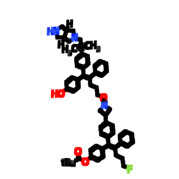 CC(C)(C)C(=O)Oc1ccc(/C(=C(\CCCF)c2ccccc2)c2ccc(C3CN(OCCC/C(=C(\c4ccc(O)cc4)c4ccc([Si](C)(C)CN5C[C@H]6CNC[C@H]6C5)cc4)c4ccccc4)C3)cc2)cc1